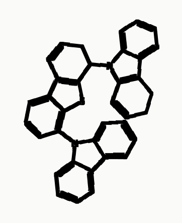 C1=Cc2c(c3ccccc3n2C2CC=Cc3c2sc2c(-n4c5ccccc5c5ccccc54)cccc32)CC1